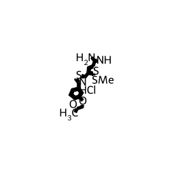 CSc1sc(C(=N)N)cc1-c1nc(-c2ccc3c(c2)OCC(C)O3)cs1.Cl